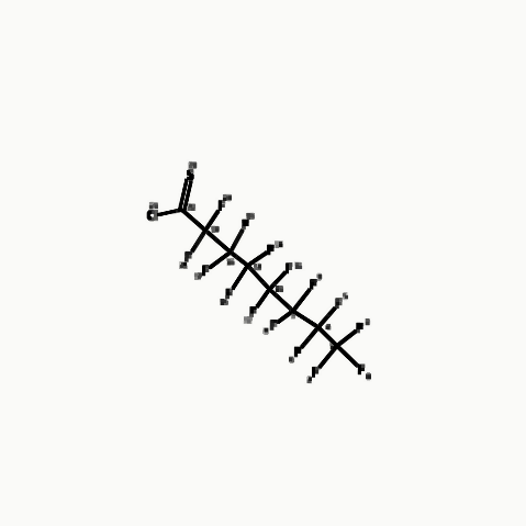 FC(F)(F)C(F)(F)C(F)(F)C(F)(F)C(F)(F)C(F)(F)C(F)(F)C(=S)Cl